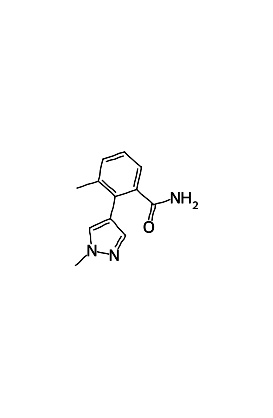 Cc1cccc(C(N)=O)c1-c1cnn(C)c1